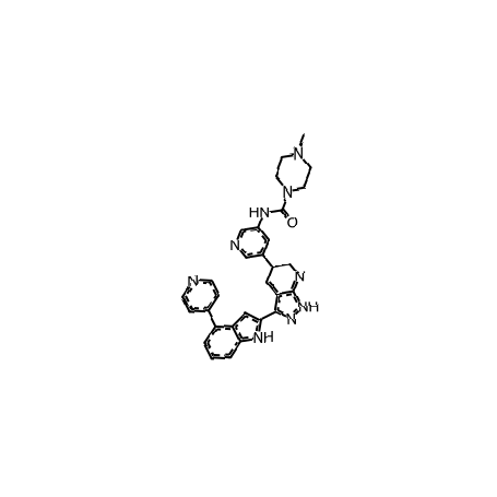 CN1CCN(C(=O)Nc2cncc(C3C=c4c(-c5cc6c(-c7ccncc7)cccc6[nH]5)n[nH]c4=NC3)c2)CC1